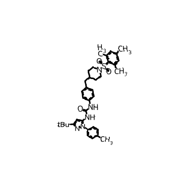 Cc1ccc(-n2nc(C(C)(C)C)cc2NC(=O)Nc2ccc(CC3CCN(S(=O)(=O)c4c(C)cc(C)cc4C)CC3)cc2)cc1